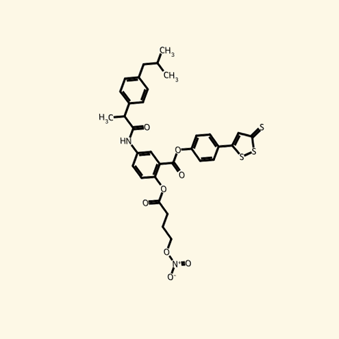 CC(C)Cc1ccc(C(C)C(=O)Nc2ccc(OC(=O)CCCO[N+](=O)[O-])c(C(=O)Oc3ccc(-c4cc(=S)ss4)cc3)c2)cc1